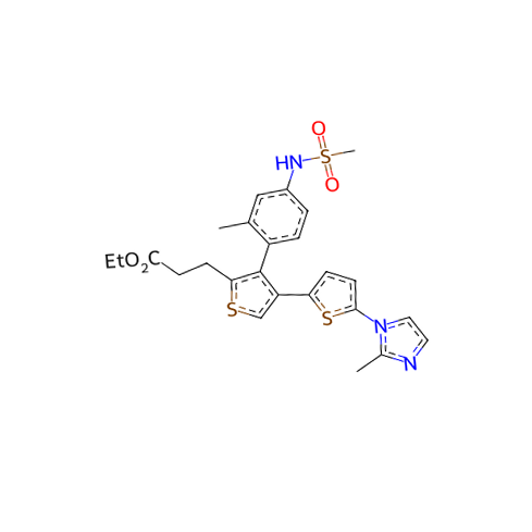 CCOC(=O)CCc1scc(-c2ccc(-n3ccnc3C)s2)c1-c1ccc(NS(C)(=O)=O)cc1C